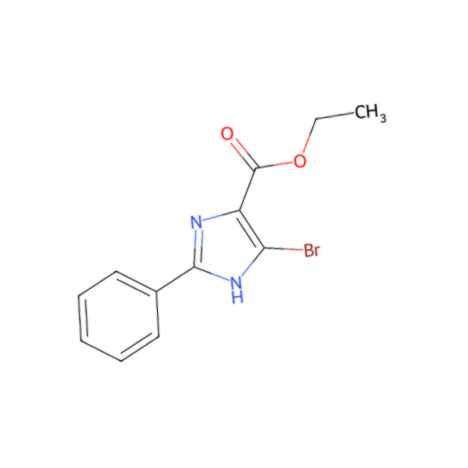 CCOC(=O)c1nc(-c2ccccc2)[nH]c1Br